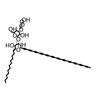 CC#CC#CC#CC#CC#CC#CC#CC#CC#CC#CC#CC#CC(=O)N[C@@H](COC1OC(CO)CC(OSOOO)C1O)[C@H](O)/C=C/CCCCCCCCCCCCC